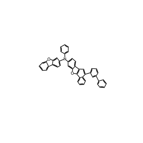 c1ccc(-c2cccc(-c3cc4c5ccc(N(c6ccccc6)c6ccc7c(c6)oc6ccccc67)cc5oc4c4ccccc34)c2)cc1